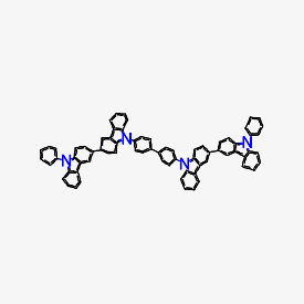 c1ccc(-n2c3ccccc3c3cc(-c4ccc5c(c4)c4ccccc4n5-c4ccc(-c5ccc(-n6c7ccccc7c7cc(-c8ccc9c(c8)c8ccccc8n9-c8ccccc8)ccc76)cc5)cc4)ccc32)cc1